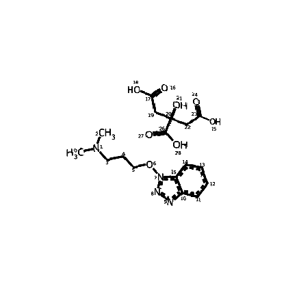 CN(C)CCCOn1nnc2ccccc21.O=C(O)CC(O)(CC(=O)O)C(=O)O